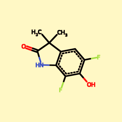 CC1(C)C(=O)Nc2c1cc(F)c(O)c2F